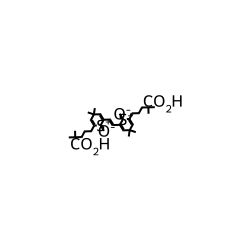 CC1(C)C=C(/C=C/C2=CC(C)(C)C=C(CCCC(C)(C)C(=O)O)[S+]2[O-])[S+]([O-])C(CCCC(C)(C)C(=O)O)=C1